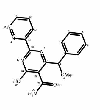 COC(c1ccccc1)c1nc(-c2cccnn2)nc(O)c1C(N)=O